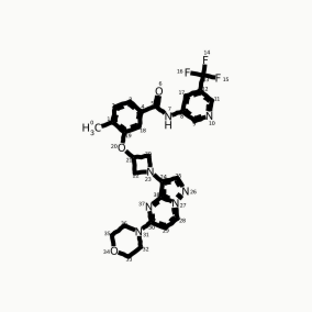 Cc1ccc(C(=O)Nc2cncc(C(F)(F)F)c2)cc1OC1CN(c2cnn3ccc(N4CCOCC4)nc23)C1